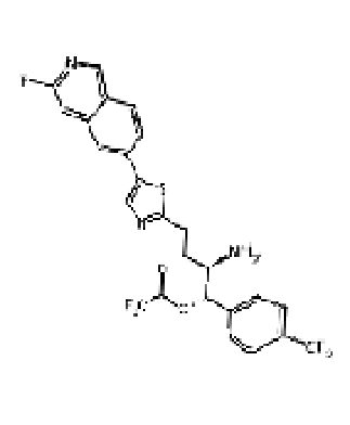 N[C@H](CCc1ncc(-c2ccc3cnc(F)cc3c2)s1)[C@@H](OC(=O)C(F)(F)F)c1ccc(C(F)(F)F)cc1